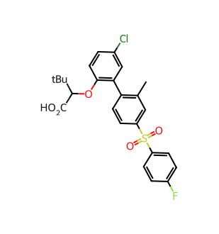 Cc1cc(S(=O)(=O)c2ccc(F)cc2)ccc1-c1cc(Cl)ccc1OC(C(=O)O)C(C)(C)C